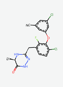 CC[C@H]1NC(Cc2ccc(Cl)c(Oc3cc(Cl)cc(C#N)c3)c2F)=NNC1=O